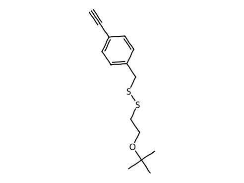 C#Cc1ccc(CSSCCOC(C)(C)C)cc1